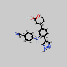 CC[C@H](CC(=O)O)c1ccc(-c2cnn(C)c2)c(Nc2ccc(C#N)cc2)c1